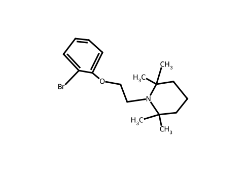 CC1(C)CCCC(C)(C)N1CCOc1ccccc1Br